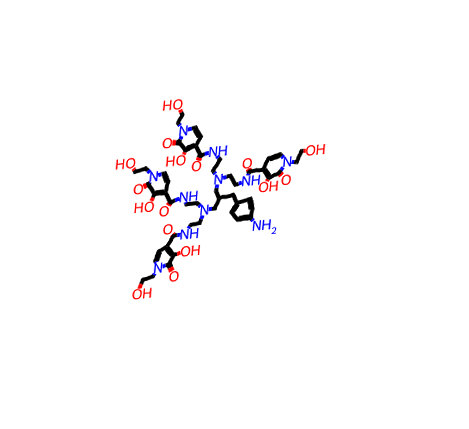 Nc1ccc(CC(CN(CCNC(=O)c2ccn(CCO)c(=O)c2O)CCNC(=O)c2ccn(CCO)c(=O)c2O)CN(CCNC(=O)c2ccn(CCO)c(=O)c2O)CCNC(=O)c2ccn(CCO)c(=O)c2O)cc1